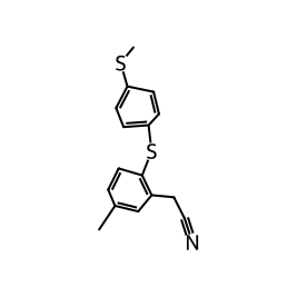 CSc1ccc(Sc2ccc(C)cc2CC#N)cc1